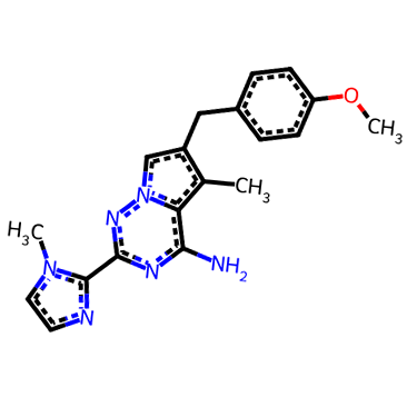 COc1ccc(Cc2cn3nc(-c4nccn4C)nc(N)c3c2C)cc1